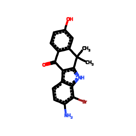 CC1(C)c2cc(O)ccc2C(=O)c2c1[nH]c1c(Br)c(N)ccc21